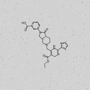 CCOC(=O)C1=C(CN2CCC3C(=O)N(c4cccc(C(=O)O)c4)CC3C2)NC(c2nccs2)=NC1